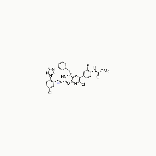 COC(=O)Nc1ccc(-c2cc([C@H](Cc3ccccc3)NC(=O)/C=C/c3cc(Cl)ccc3-n3cnnn3)nnc2Cl)cc1F